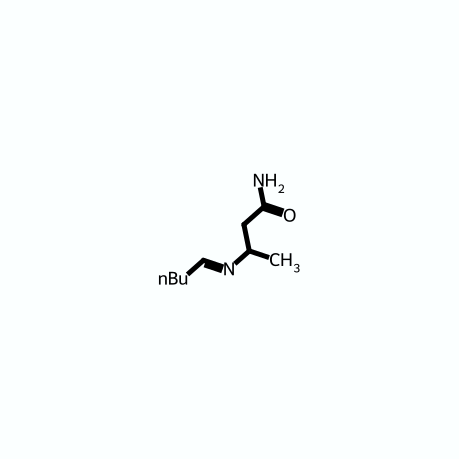 CCCC/C=N/C(C)CC(N)=O